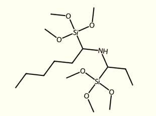 CCCCCC(NC(CC)[Si](OC)(OC)OC)[Si](OC)(OC)OC